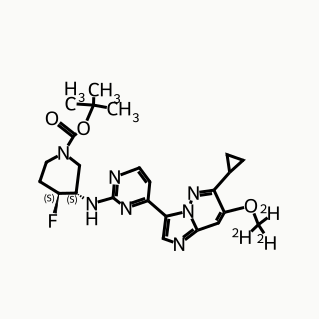 [2H]C([2H])([2H])Oc1cc2ncc(-c3ccnc(N[C@H]4CN(C(=O)OC(C)(C)C)CC[C@@H]4F)n3)n2nc1C1CC1